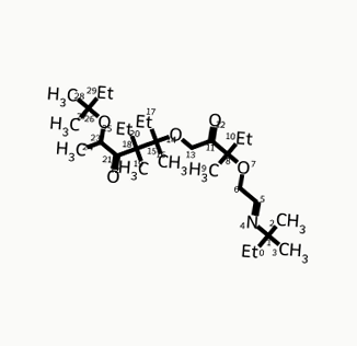 CCC(C)(C)/N=C/COC(C)(CC)C(=O)COC(C)(CC)C(C)(CC)C(=O)C(C)OC(C)(C)CC